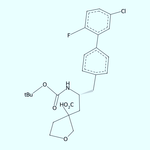 CC(C)(C)OC(=O)N[C@H](Cc1ccc(-c2cc(Cl)ccc2F)cc1)CC1(C(=O)O)CCOC1